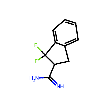 N=C(N)C1Cc2ccccc2C1(F)F